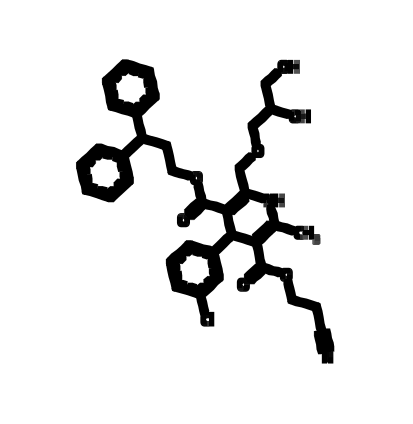 CC1=C(C(=O)OCCC#N)C(c2cccc(Cl)c2)C(C(=O)OCCC(c2ccccc2)c2ccccc2)=C(COCC(O)CO)N1